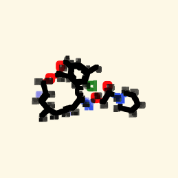 Cc1cc(C)c2c(c1Cl)CC(=N\OCC(=O)N1CCCCC1)/C=C/CC(C)/C=C/COC2=O